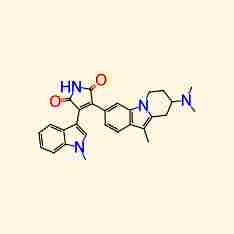 Cc1c2n(c3cc(C4=C(c5cn(C)c6ccccc56)C(=O)NC4=O)ccc13)CCC(N(C)C)C2